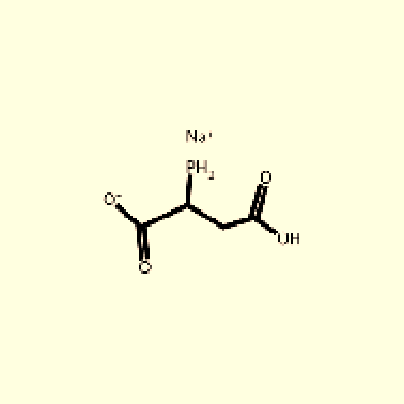 O=C(O)CC(P)C(=O)[O-].[Na+]